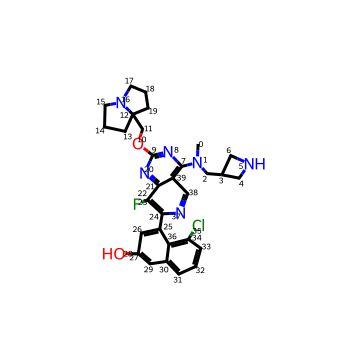 CN(CC1CNC1)c1nc(OCC23CCCN2CCC3)nc2c(F)c(-c3cc(O)cc4cccc(Cl)c34)ncc12